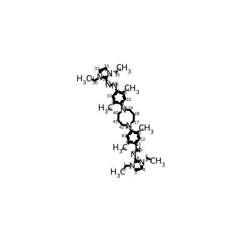 CCn1cc[n+](CC)c1/N=N/c1cc(C)c(N2CCCN(c3cc(C)c(/N=N/c4n(CC)cc[n+]4CC)cc3C)CCC2)cc1C